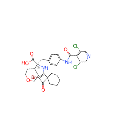 O=C(Nc1ccc(C[C@@](NC2=C(Br)C(=O)C23CCCCC3)(C(=O)O)C2CCOCC2)cc1)c1c(Cl)cncc1Cl